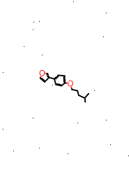 CC(C)CCCOc1ccc(-c2ccoc2)cc1